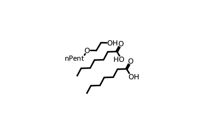 CCCCCCC(=O)O.CCCCCCC(=O)O.CCCCCOCCO